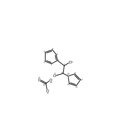 ClC(c1ccccc1)C(Cl)n1cccc1.O=C(Cl)Cl